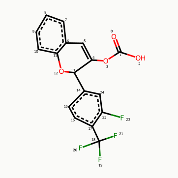 O=C(O)OC1=Cc2ccccc2OC1c1ccc(C(F)(F)F)c(F)c1